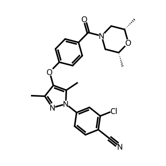 Cc1nn(-c2ccc(C#N)c(Cl)c2)c(C)c1Oc1ccc(C(=O)N2C[C@@H](C)O[C@@H](C)C2)cc1